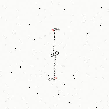 COC(=O)CCCCCCCCCCCCCCCCc1c2ccccc2c(CCCCCCCCCCCCCCCCC(=O)OC)c2ccccc12